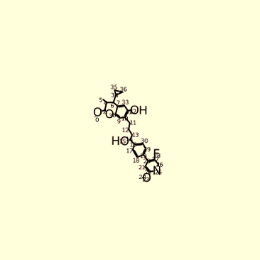 COC(=O)C(C)C(c1ccc(CCCC(O)c2ccc(-c3cc(OC)ncc3F)cc2)c(O)c1)C1CC1